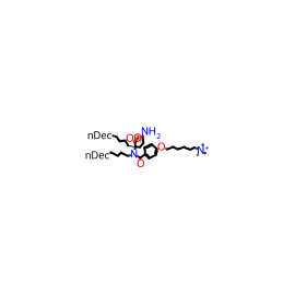 CCCCCCCCCCCCCCN(C(=O)c1ccc(OCCCCCC[N+](C)(C)C)cc1)[C@@](CCCCCCCCCCCCCC)(CCC(N)=O)C(=O)Br